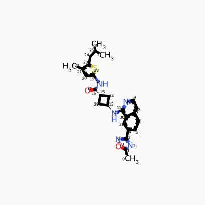 Cc1nc(-c2ccc3ccnc(N[C@H]4C[C@@H](C(=O)Nc5cc(C)c(CC(C)C)s5)C4)c3c2)no1